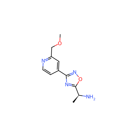 COCc1cc(-c2noc([C@H](C)N)n2)ccn1